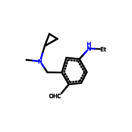 CCNc1ccc(C=O)c(CN(C)C2CC2)c1